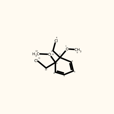 COC1(CCl)C=CC=CC1(CCl)OC